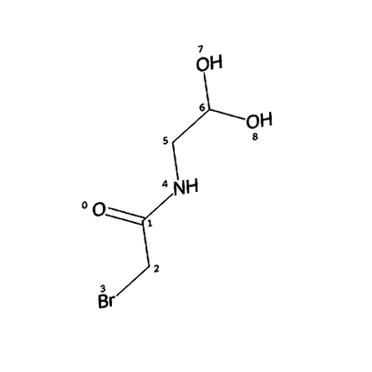 O=C(CBr)NCC(O)O